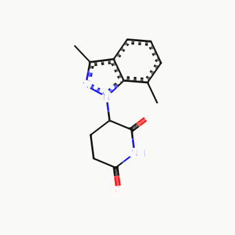 Cc1nn(C2CCC(=O)NC2=O)c2c(C)cccc12